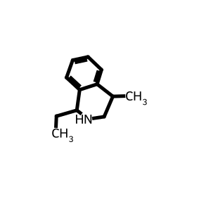 CCC1NCC(C)c2ccccc21